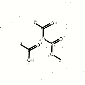 CC(=O)O.COS(=O)OC(C)=O